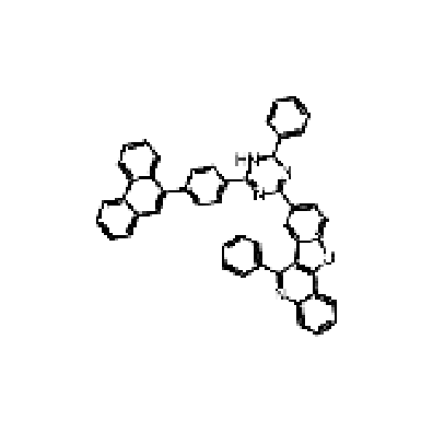 c1ccc(-c2nc3ccccc3c3oc4ccc(C5=NC(c6ccccc6)NC(c6ccc(-c7cc8ccccc8c8ccccc78)cc6)=N5)cc4c23)cc1